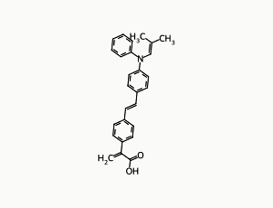 C=C(C(=O)O)c1ccc(C=Cc2ccc(N(C=C(C)C)c3ccccc3)cc2)cc1